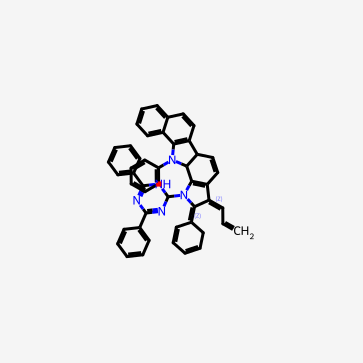 C=C/C=c1/c2c(n(C3N=C(c4ccccc4)N=C(c4ccccc4)N3)/c1=C1\C=CC=CC1)C1C(C=C2)c2ccc3ccccc3c2N1c1ccccc1